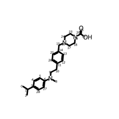 CC(C)c1ccc(N(C)CCc2ccc(CN3CCN(C(=O)O)CC3)cc2)cc1